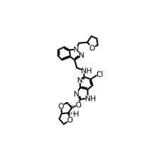 Clc1cc2[nH]c(O[C@@H]3COC4CCO[C@@H]43)nc2nc1NCc1nn(CC2CCCO2)c2ccccc12